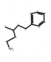 CC(CCN)CCc1ccccc1